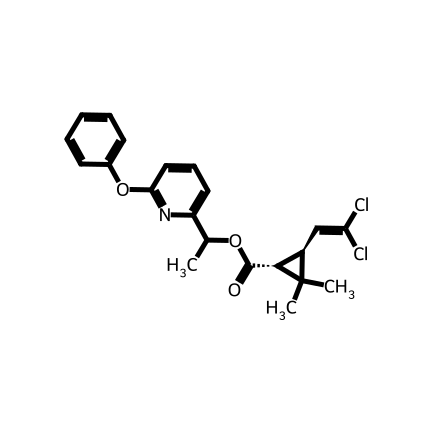 CC(OC(=O)[C@@H]1[C@@H](C=C(Cl)Cl)C1(C)C)c1cccc(Oc2ccccc2)n1